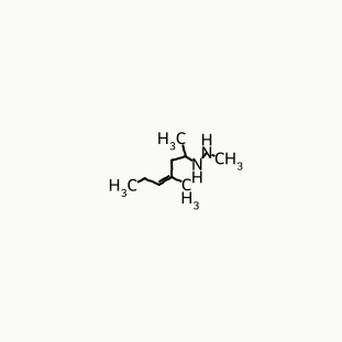 CCC=C(C)CC(C)NNC